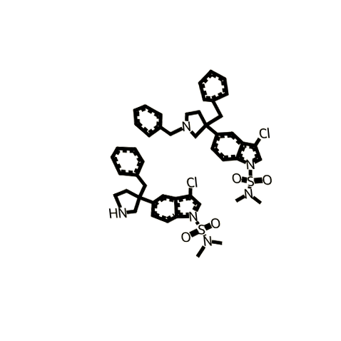 CN(C)S(=O)(=O)n1cc(Cl)c2cc(C3(Cc4ccccc4)CCN(Cc4ccccc4)C3)ccc21.CN(C)S(=O)(=O)n1cc(Cl)c2cc(C3(Cc4ccccc4)CCNC3)ccc21